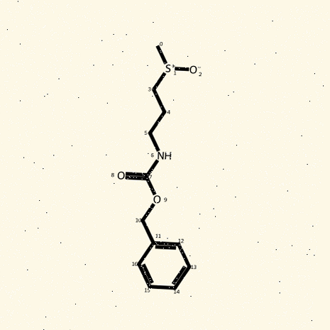 C[S+]([O-])CC[CH]NC(=O)OCc1ccccc1